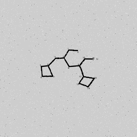 CCC(CC1CCC1)CC(CF)C1CCC1